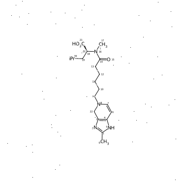 Cc1nc2c([nH]1)C=CN(CCCCCC(=O)N(C)[C@@H](CC(C)C)C(=O)O)C2